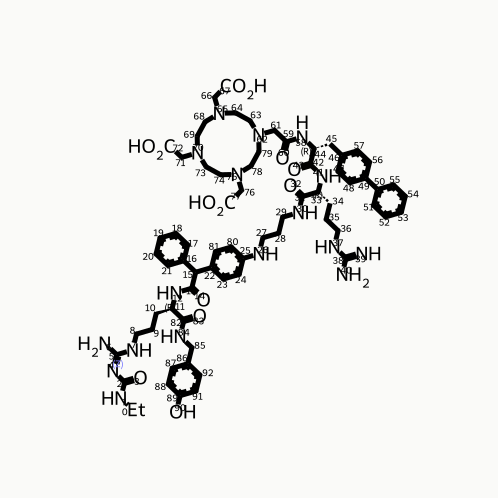 CCNC(=O)/N=C(/N)NCCC[C@@H](NC(=O)C(c1ccccc1)c1ccc(NCCCNC(=O)[C@@H](CCCNC(=N)N)NC(=O)[C@@H](Cc2ccc(-c3ccccc3)cc2)NC(=O)CN2CCN(CC(=O)O)CCN(CC(=O)O)CCN(CC(=O)O)CC2)cc1)C(=O)NCc1ccc(O)cc1